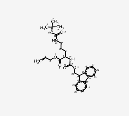 C=CCOC(=O)C(CCCNC(=O)OC(C)(C)C)NC(=O)OCC1c2ccccc2-c2ccccc21